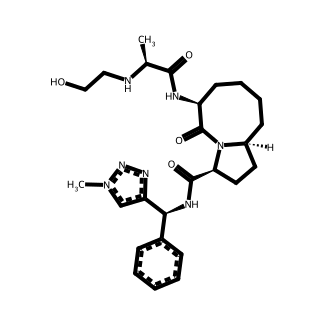 C[C@H](NCCO)C(=O)N[C@H]1CCCC[C@H]2CC[C@@H](C(=O)N[C@@H](c3ccccc3)c3cn(C)nn3)N2C1=O